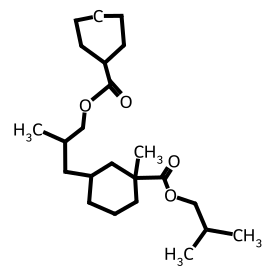 CC(C)COC(=O)C1(C)CCCC(CC(C)COC(=O)C2CCCCC2)C1